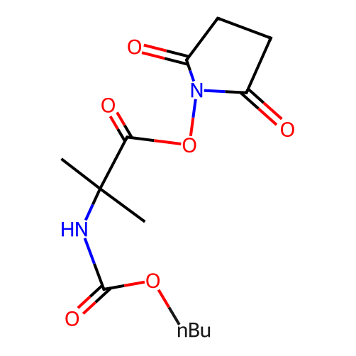 CCCCOC(=O)NC(C)(C)C(=O)ON1C(=O)CCC1=O